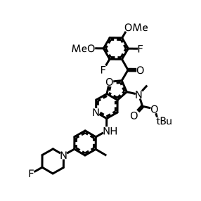 COc1cc(OC)c(F)c(C(=O)c2oc3cnc(Nc4ccc(N5CCC(F)CC5)cc4C)cc3c2N(C)C(=O)OC(C)(C)C)c1F